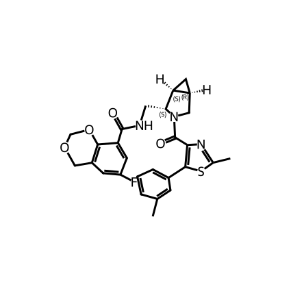 Cc1cccc(-c2sc(C)nc2C(=O)N2C[C@@H]3C[C@@H]3[C@H]2CNC(=O)c2cc(F)cc3c2OCOC3)c1